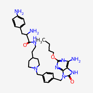 CCCCOc1nc(N)c2[nH]c(=O)n(Cc3ccc(CN4CCC(CCNC(=O)C(N)Cc5ccc(N)cc5)CC4)cc3)c2n1